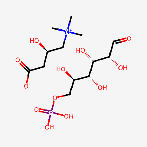 C[N+](C)(C)C[C@H](O)CC(=O)[O-].O=C[C@H](O)[C@@H](O)[C@H](O)[C@H](O)COP(=O)(O)O